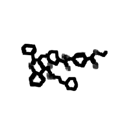 CCOC(=O)c1ccc(NC(=O)C2CCN(Cc3c(-c4ccccc4)nc4ccccc4c3C(=O)NCCC3CCCCC3)CC2)cc1